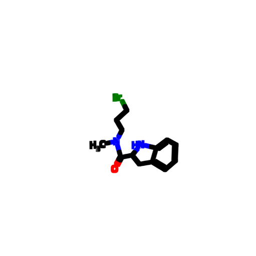 CN(CCCBr)C(=O)C1Cc2ccccc2N1